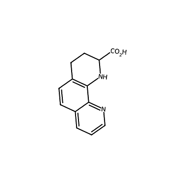 O=C(O)C1CCc2ccc3cccnc3c2N1